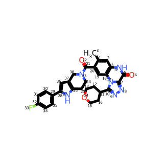 Cc1cc2[nH]c(=O)c3nnc(C4CCOCC4)n3c2cc1C(=O)N1CCc2[nH]c(-c3ccc(F)cc3)cc2C1